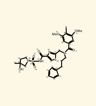 COc1cc(C(=O)N(CCCc2ccccc2)Cc2nc(C(=O)NS(=O)(=O)N3CCC(C)(O)C3)cs2)cc(OC)c1C